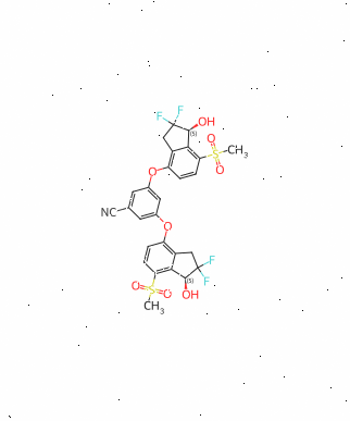 CS(=O)(=O)c1ccc(Oc2cc(C#N)cc(Oc3ccc(S(C)(=O)=O)c4c3CC(F)(F)[C@H]4O)c2)c2c1[C@H](O)C(F)(F)C2